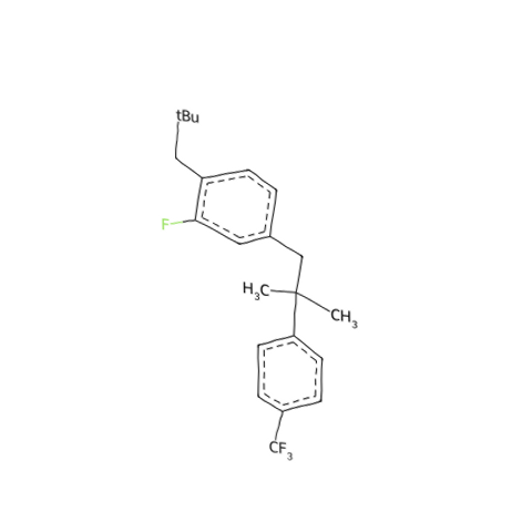 CC(C)(C)Cc1ccc(CC(C)(C)c2ccc(C(F)(F)F)cc2)cc1F